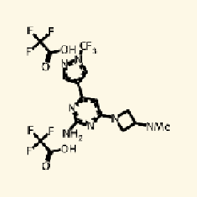 CNC1CN(c2cc(-c3cnn(C(F)(F)F)c3)nc(N)n2)C1.O=C(O)C(F)(F)F.O=C(O)C(F)(F)F